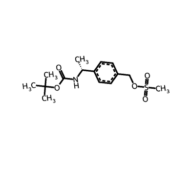 C[C@@H](NC(=O)OC(C)(C)C)c1ccc(COS(C)(=O)=O)cc1